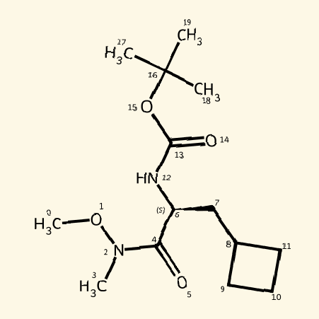 CON(C)C(=O)[C@H](CC1CCC1)NC(=O)OC(C)(C)C